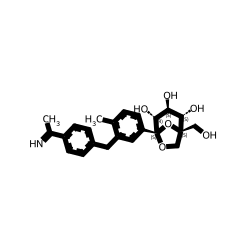 CC(=N)c1ccc(Cc2cc([C@]34OC[C@](CO)(O3)[C@@H](O)[C@H](O)[C@H]4O)ccc2C)cc1